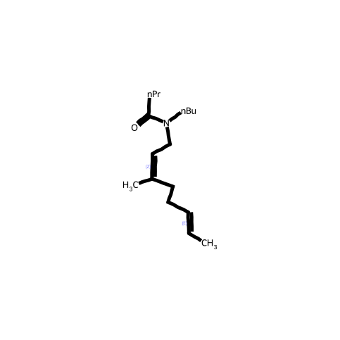 C/C=C/CC/C(C)=C\CN(CCCC)C(=O)CCC